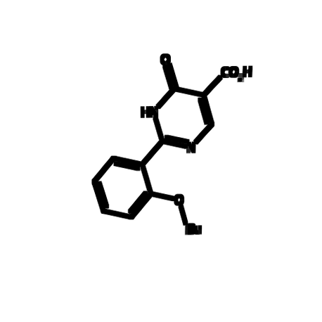 CCC(C)Oc1ccccc1-c1ncc(C(=O)O)c(=O)[nH]1